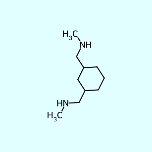 CNCC1CCCC(CNC)C1